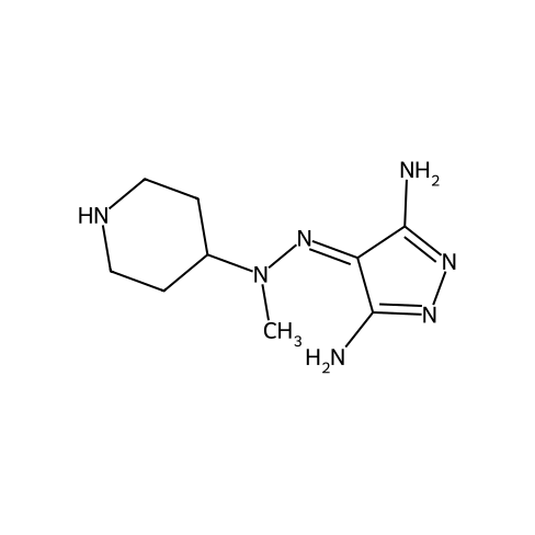 CN(N=C1C(N)=NN=C1N)C1CCNCC1